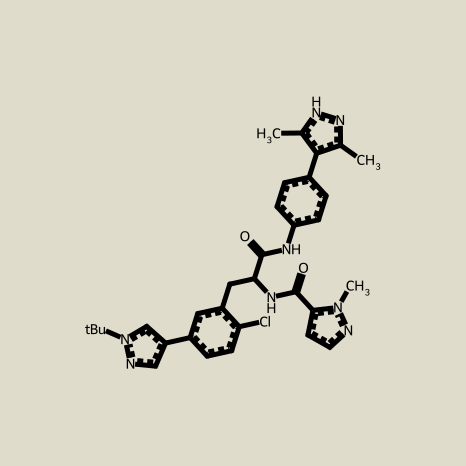 Cc1n[nH]c(C)c1-c1ccc(NC(=O)C(Cc2cc(-c3cnn(C(C)(C)C)c3)ccc2Cl)NC(=O)c2ccnn2C)cc1